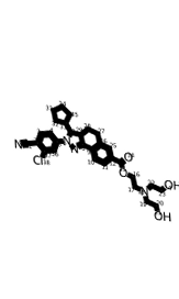 N#Cc1ccc(N2N=C3c4ccc(C(=O)OCCN(CCO)CCO)cc4CCC3C2C2CCCC2)cc1Cl